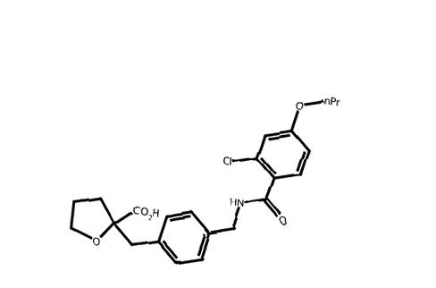 CCCOc1ccc(C(=O)NCc2ccc(CC3(C(=O)O)CCCO3)cc2)c(Cl)c1